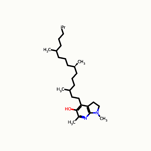 Cc1nc2c(c(CCC(C)CCC[C@H](C)CCCC(C)CCCC(C)C)c1O)CCN2C